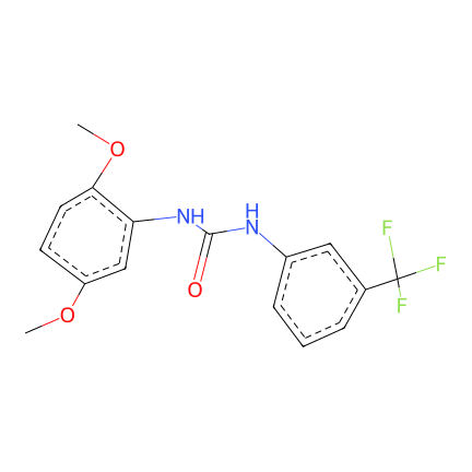 COc1ccc(OC)c(NC(=O)Nc2cccc(C(F)(F)F)c2)c1